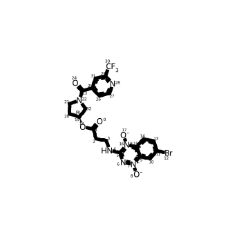 O=C(CCNc1n[n+]([O-])c2cc(Br)ccc2[n+]1[O-])O[C@@H]1CCN(C(=O)c2ccnc(C(F)(F)F)c2)C1